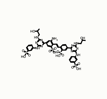 CC(O)CNc1nc(Nc2cccc(S(=O)(=O)O)c2)nc(-c2ccc(C=Cc3c(N)cc(-c4nc(NCC(C)O)nc(Nc5cccc(S(=O)(=O)O)c5)n4)cc3S(=O)(=O)O)c(S(=O)(=O)O)c2)n1